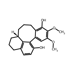 COc1cc2c(c(O)c1OC)CCC[C@H]1CCCc3ccc(O)c-2c31